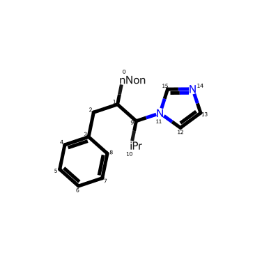 CCCCCCCCCC(Cc1ccccc1)C(C(C)C)n1ccnc1